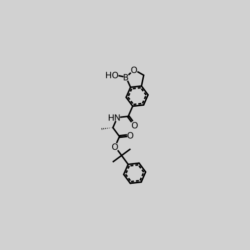 C[C@H](NC(=O)c1ccc2c(c1)B(O)OC2)C(=O)OC(C)(C)c1ccccc1